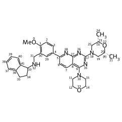 COc1ccc(-c2ccc3c(N4CCOCC4)nc(N4C[C@@H](C)O[C@@H](C)C4)nc3n2)cc1CNC1CCc2ccccc21